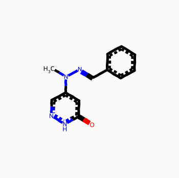 CN(N=Cc1ccccc1)c1cn[nH]c(=O)c1